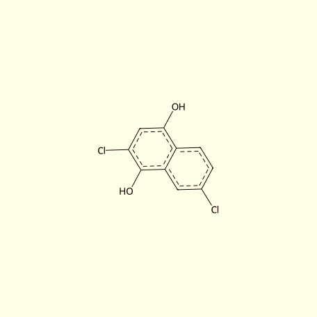 Oc1cc(Cl)c(O)c2cc(Cl)ccc12